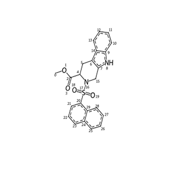 COC(=O)C1Cc2c([nH]c3ccccc23)CN1S(=O)(=O)c1cccc2ccccc12